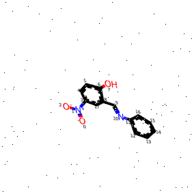 O=[N+]([O-])c1ccc(O)c(C=Nc2cc[c]cc2)c1